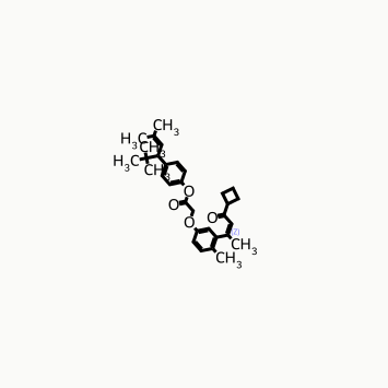 CC(C)=CC(c1ccc(OC(=O)COc2ccc(C)c(/C(C)=C\C(=O)C3CCC3)c2)cc1)C(C)(C)C